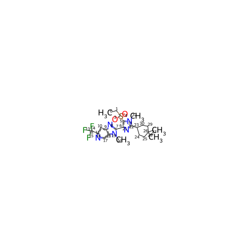 CCS(=O)(=O)c1c(-c2nc3cc(C(F)(F)F)ncc3n2C)nc(C2CCC(C)(C)CC2)n1C